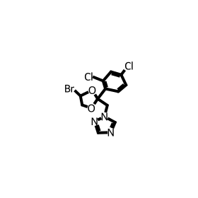 Clc1ccc(C2(Cn3cncn3)OCC(Br)O2)c(Cl)c1